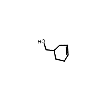 OC[C]1CC=CCC1